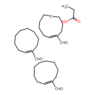 CCC(=O)O.O=CC1=CCCCCCCCC1.O=CC1=CCCCCCCCC1.O=CC1=CCCCCCCCC1